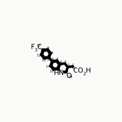 O=C(O)CC1Cc2cc(-c3ccc(C(F)(F)F)cc3)ccc2NC1=O